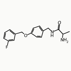 CC(N)C(=O)NCc1ccc(OCc2cccc(F)c2)cc1